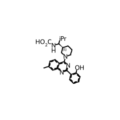 Cc1ccc2c(N3CCC[C@H](C(NC(=O)O)C(C)C)C3)nc(-c3ccccc3O)nc2c1